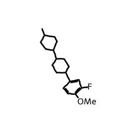 COc1ccc(C2CCC(C3CCC(C)CC3)CC2)cc1F